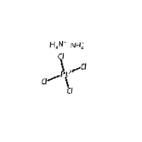 [Cl][Pt-2]([Cl])([Cl])[Cl].[NH4+].[NH4+]